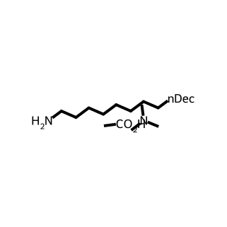 CC(=O)O.CCCCCCCCCCCCCCCCCCN.CN(C)C